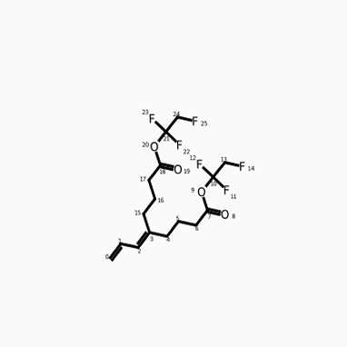 C=CC=C(CCCC(=O)OC(F)(F)CF)CCCC(=O)OC(F)(F)CF